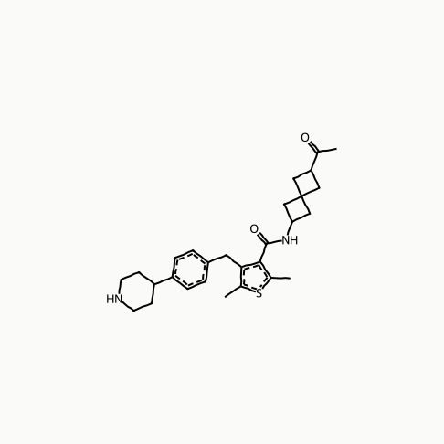 CC(=O)C1CC2(CC(NC(=O)c3c(C)sc(C)c3Cc3ccc(C4CCNCC4)cc3)C2)C1